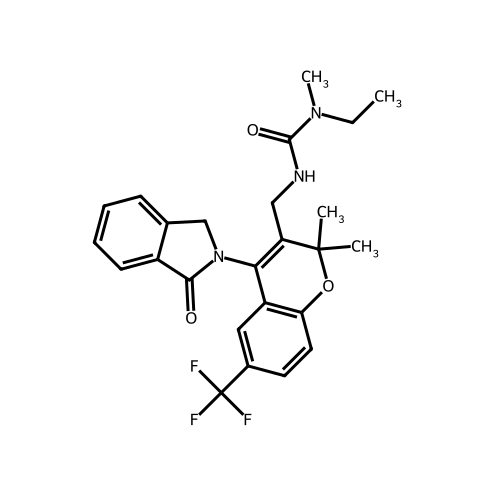 CCN(C)C(=O)NCC1=C(N2Cc3ccccc3C2=O)c2cc(C(F)(F)F)ccc2OC1(C)C